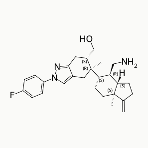 C=C1CC[C@H]2[C@H](CN)[C@@H]([C@@]3(C)Cc4cn(-c5ccc(F)cc5)nc4C[C@@H]3CO)CC[C@]12C